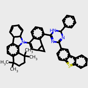 CC1(C)CCC(C)(C)c2c1ccc1c2N(C2=CC3CC3c3c2cccc3C2=NC(c3ccc4sc5ccccc5c4c3)=NC(c3ccccc3)N2)C2C=CC=CC12